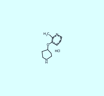 Cc1ncccc1OC1CCNCC1.Cl